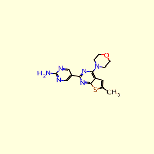 Cc1cc2c(N3CCOCC3)nc(-c3cnc(N)nc3)nc2s1